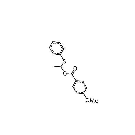 COc1ccc(C(=O)OC(C)Sc2ccccc2)cc1